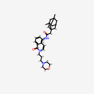 CC12CC3CC(C)(C1)CC(CC(=O)Nc1cccc4c(=O)n(CCCN5CCOCC5)ccc14)(C3)C2